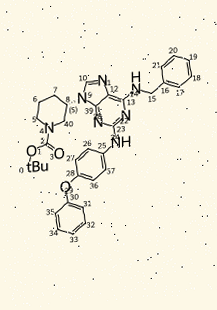 CC(C)(C)OC(=O)N1CCC[C@H](n2cnc3c(NCc4ccccc4)nc(Nc4ccc(Oc5ccccc5)cc4)nc32)C1